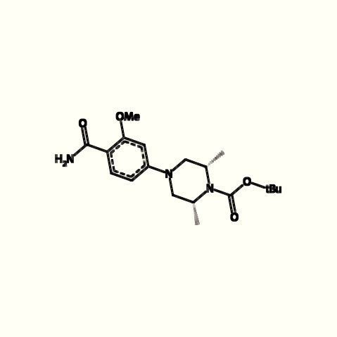 COc1cc(N2C[C@@H](C)N(C(=O)OC(C)(C)C)[C@@H](C)C2)ccc1C(N)=O